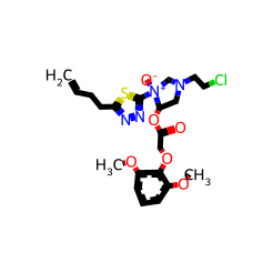 C=CCCc1nnc([N+]2([O-])CN(CCCl)CC2OC(=O)COc2c(OC)cccc2OC)s1